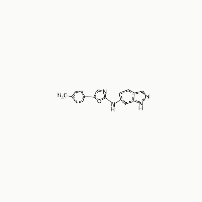 Cc1ccc(-c2cnc(Nc3ccc4cn[nH]c4c3)o2)cc1